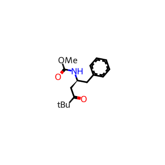 COC(=O)N[C@H](CC(=O)C(C)(C)C)Cc1ccccc1